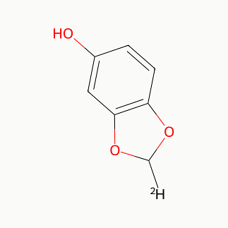 [2H]C1Oc2ccc(O)cc2O1